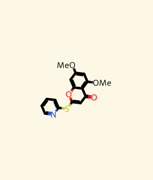 COc1cc(OC)c2c(=O)cc(Sc3ccccn3)oc2c1